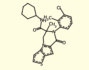 Cc1c(Cl)cccc1N1C(=O)c2cc3sccc3n2CC1(C)C(=O)NC1CCCCC1